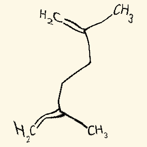 C=C(C)CCC(=C)C